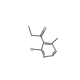 CCC(=O)c1c(C)ccnc1Cl